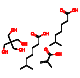 C=C(C)C(=O)O.CC(C)CCCCC(=O)O.CC(C)CCCCC(=O)O.OCC(CO)(CO)CO